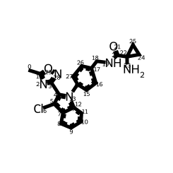 Cc1nc(-c2c(Cl)c3ccccc3n2-c2ccc(CNC(=O)C3(N)CC3)cc2)no1